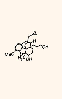 COc1ccc2c3c1O[C@]1(C)C(O)CC[C@@]4(CCCO)[C@@H](C2)C(CC2CC2)CC[C@@]341